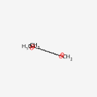 C=CC(=O)OCCCCCCCCCCCCCCCCCCCCCCCCOC(=O)C(=C)C